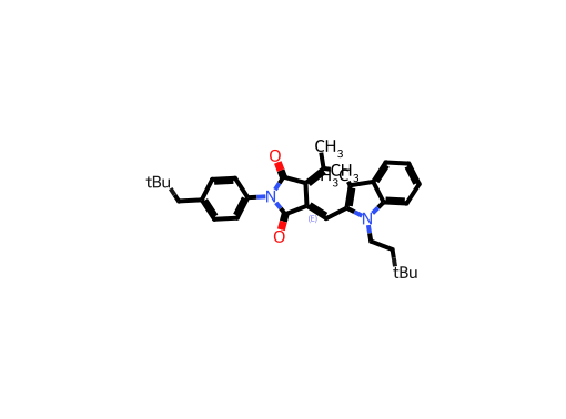 CC(C)=C1C(=O)N(c2ccc(CC(C)(C)C)cc2)C(=O)/C1=C/c1c(C)c2ccccc2n1CCC(C)(C)C